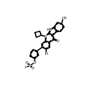 CCc1cc2c(=O)c3c4ccc(C#N)cc4[nH]c3n(C3CCC3)c2cc1-c1cccc(OS(=O)(=O)F)c1